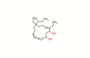 C=CCCC(CC)(CCC)CCC.CCCC(O)CC(C)O